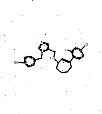 N#Cc1ccc(Cn2cncc2CNC2C=C(c3ccc(Cl)cc3Cl)CCCC2)cc1